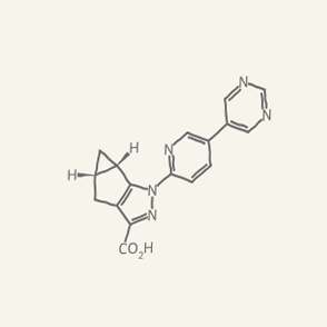 O=C(O)c1nn(-c2ccc(-c3cncnc3)cn2)c2c1C[C@@H]1C[C@H]21